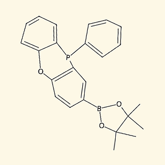 CC1(C)OB(c2ccc3c(c2)P(c2ccccc2)c2ccccc2O3)OC1(C)C